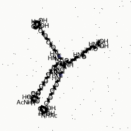 CC(=O)N[C@H]1[C@H]2OC[C@](COCCOCCOCCOCCN/C=C(/COCC(COC/C(=C/NCCOCCOCCOCCOC[C@]34CO[C@H](C[C@@H](O)[C@H]3O)O4)N=N)(COCc3cn(CCOCCOCCOCCOC[C@@]45CO[C@@H](O4)[C@H](NC(C)=O)[C@@H](O)[C@H]5O)nn3)NC(=O)CCCCCNC(=O)CCCCCC(=O)NC(CO)CO)N=N)(O2)[C@H](O)[C@@H]1O